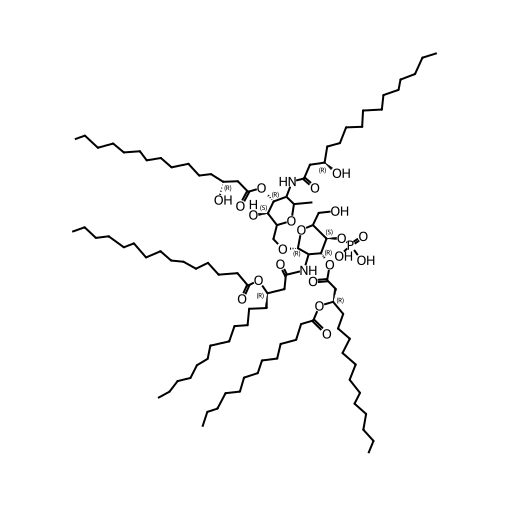 CCCCCCCCCCCCCCC(=O)O[C@H](CCCCCCCCCCCC)CC(=O)NC1[C@H](OCC2OC(C)C(NC(=O)C[C@H](O)CCCCCCCCCCCC)[C@@H](OC(=O)C[C@H](O)CCCCCCCCCCCC)[C@@H]2O)OC(CO)[C@@H](OP(=O)(O)O)[C@@H]1OC(=O)C[C@@H](CCCCCCCCCCCC)OC(=O)CCCCCCCCCCCC